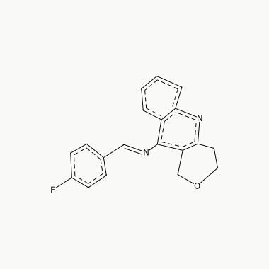 Fc1ccc(C=Nc2c3c(nc4ccccc24)CCOC3)cc1